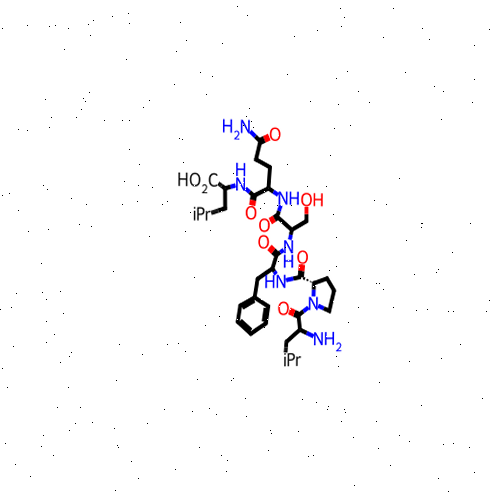 CC(C)CC(N)C(=O)N1CCC[C@H]1C(=O)NC(Cc1ccccc1)C(=O)NC(CO)C(=O)NC(CCC(N)=O)C(=O)NC(CC(C)C)C(=O)O